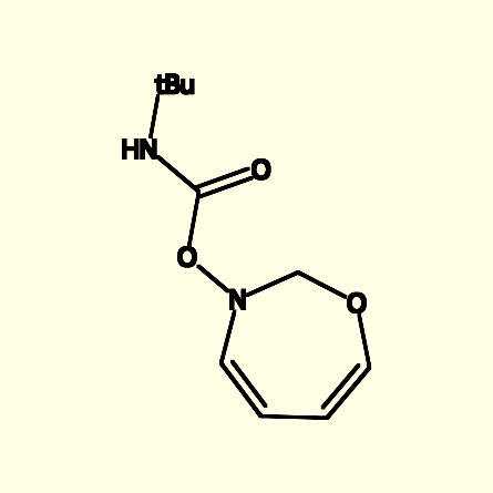 CC(C)(C)NC(=O)ON1C=CC=COC1